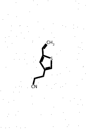 C=Cc1cc(CCC#N)cs1